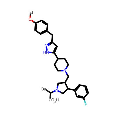 CCOc1ccc(Cc2cc(C3CCN(CC4CN(C(C(=O)O)C(C)CC)CC4c4cccc(F)c4)CC3)[nH]n2)cc1